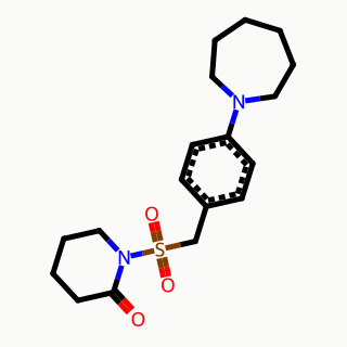 O=C1CCCCN1S(=O)(=O)Cc1ccc(N2CCCCCC2)cc1